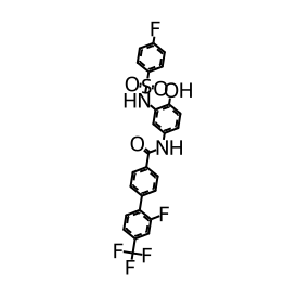 O=C(Nc1ccc(O)c(NS(=O)(=O)c2ccc(F)cc2)c1)c1ccc(-c2ccc(C(F)(F)F)cc2F)cc1